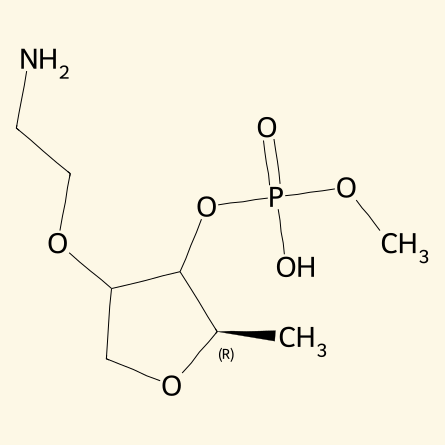 COP(=O)(O)OC1C(OCCN)CO[C@@H]1C